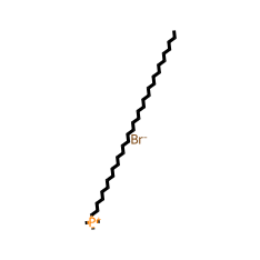 CCCCCCCCCCCCCCCCCCCCCCCCCCCCCCCCC[P+](C)(C)C.[Br-]